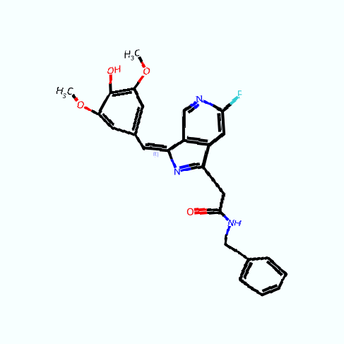 COc1cc(/C=C2/N=C(CC(=O)NCc3ccccc3)c3cc(F)ncc32)cc(OC)c1O